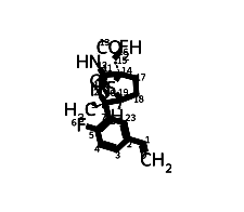 C=Cc1ccc(F)c([C@@]2(C)N=C(NC(=O)O)[C@@]3(CF)CC[C@@H]2S3(=O)=O)c1